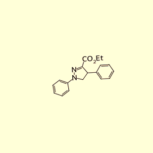 CCOC(=O)C1=NN(c2ccccc2)CC1c1ccccc1